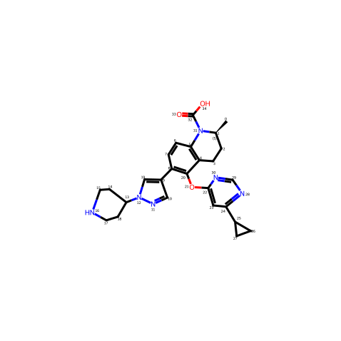 C[C@H]1CCc2c(ccc(-c3cnn(C4CCNCC4)c3)c2Oc2cc(C3CC3)ncn2)N1C(=O)O